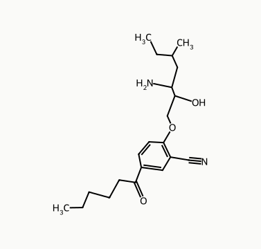 CCCCCC(=O)c1ccc(OCC(O)C(N)CC(C)CC)c(C#N)c1